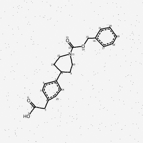 O=C(O)Cc1ccc(C2CCN(C(=O)OCc3ccccc3)CC2)cc1